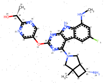 CNc1cc(F)cc2c1[nH]c1nc(Oc3cnc([C@@H](C)O)nc3)nc(N3CC4[C@H](N)CC4(C)C3)c12